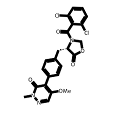 COc1cnn(C)c(=O)c1-c1ccc(C[C@H]2C(=O)OCN2C(=O)c2c(Cl)cccc2Cl)cc1